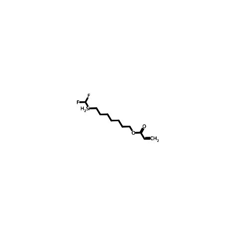 C=CC(=O)OCCCCCCC[SiH2]C(F)F